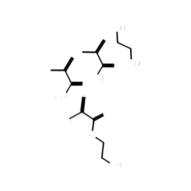 C=C(C)C(=O)O.C=C(C)C(=O)O.C=C(C)C(=O)OCCO.OCCO